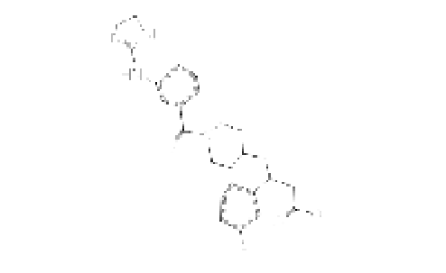 O=C(O)CC(CC1CCN(C(=O)c2cccc(NC3=NCCN3)c2)CC1)c1cccc(F)c1